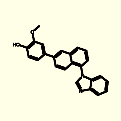 COc1cc(-c2ccc3c(-n4cnc5ccccc54)cccc3c2)ccc1O